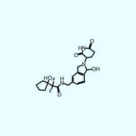 O=C1CCC(N2Cc3cc(CNC(=O)C(F)(F)C4(O)CCCC4)ccc3C2O)C(=O)N1